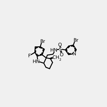 C=C1CCCC2Nc3c(F)cc(Br)cc3C12CCNS(=O)(=O)c1cncc(Br)c1